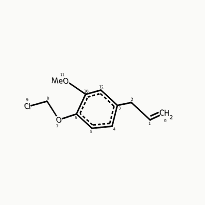 C=CCc1ccc(OCCl)c(OC)c1